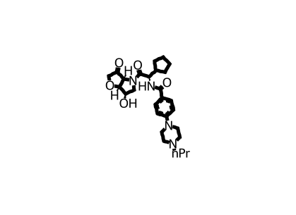 CCCN1CCN(c2ccc(C(=O)N[C@H](C(=O)N3C[C@@H](O)[C@H]4OCC(=O)[C@H]43)C3CCCC3)cc2)CC1